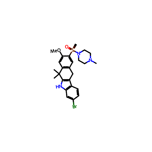 C=S(=O)(c1cc2c(cc1OC)C(C)(C)c1[nH]c3cc(Br)ccc3c1C2)N1CCN(C)CC1